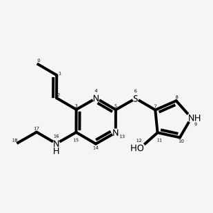 C/C=C/c1nc(Sc2c[nH]cc2O)ncc1NCC